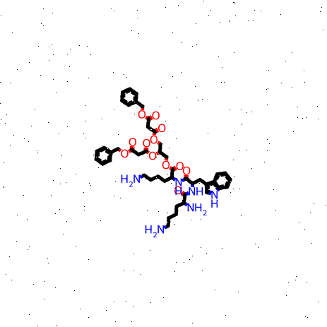 NCCCCC(N)C(=O)NC(Cc1c[nH]c2ccccc12)C(=O)NC(CCCCN)C(=O)OCC(COC(=O)CC(=O)OCc1ccccc1)OC(=O)CC(=O)OCc1ccccc1